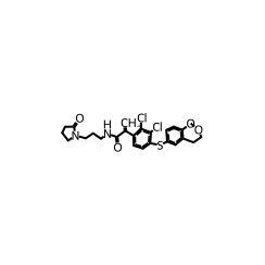 C=C(C(=O)NCCCN1CCCC1=O)c1ccc(Sc2ccc3c(c2)CCOO3)c(Cl)c1Cl